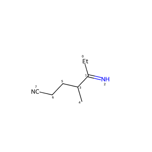 CCC(=N)C(C)CCC#N